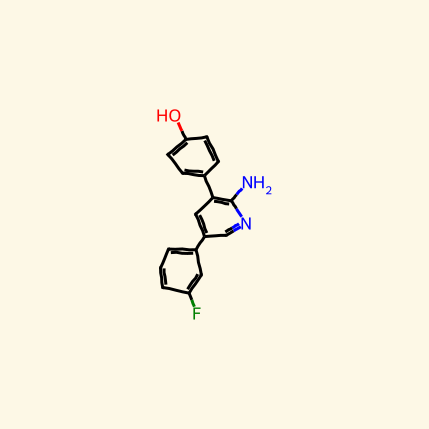 Nc1ncc(-c2cccc(F)c2)cc1-c1ccc(O)cc1